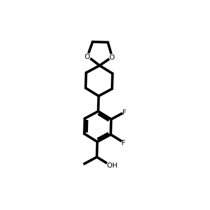 CC(O)c1ccc(C2CCC3(CC2)OCCO3)c(F)c1F